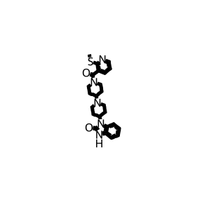 CSc1ncccc1C(=O)N1CCC(N2CCC(n3c(=O)[nH]c4ccccc43)CC2)CC1